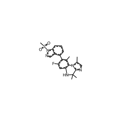 Cc1c(-c2cccc3c2cnn3S(C)(=O)=O)c(F)cc2c1-n1c(C)cnc1C(C)(C)N2